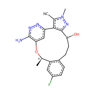 C[C@H]1Oc2cc(nnc2N)-c2c(nn(C)c2C#N)B(O)CCc2ccc(F)cc21